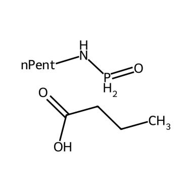 CCCC(=O)O.CCCCCN[PH2]=O